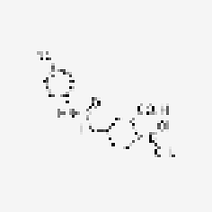 CB(O)N1CC[C@@H](NC(=O)Nc2ccc(C#N)cc2)C[C@@H]1C(=O)O